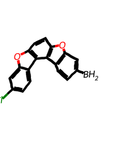 Bc1ccc2c(c1)oc1ccc3oc4cc(Cl)ccc4c3c12